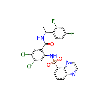 CC(NC(=O)c1cc(Cl)c(Cl)cc1NS(=O)(=O)c1cccc2nccnc12)c1ccc(F)cc1F